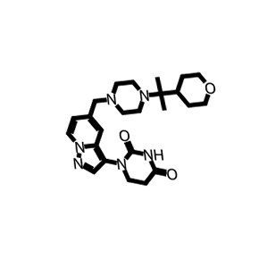 CC(C)(C1CCOCC1)N1CCN(Cc2ccn3ncc(N4CCC(=O)NC4=O)c3c2)CC1